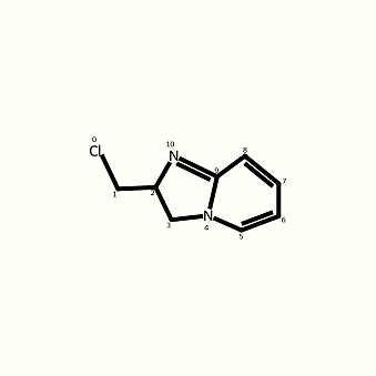 ClCC1CN2C=CC=CC2=N1